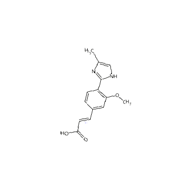 COc1cc(/C=C/C(=O)O)ccc1-c1nc(C)c[nH]1